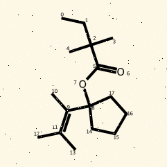 CCC(C)(C)C(=O)OC1(C(C)=C(C)C)CCCC1